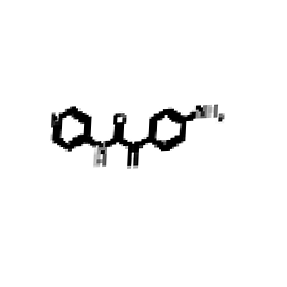 Nc1ccc(NC(=O)Nc2ccncc2)cc1